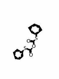 O=C(OC(=O)Sc1ccccc1)Sc1ccccc1